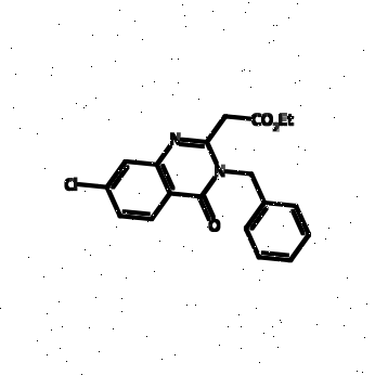 CCOC(=O)Cc1nc2cc(Cl)ccc2c(=O)n1Cc1ccccc1